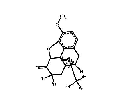 [2H]C1([2H])C[C@@]2(O)[C@H]3Cc4ccc(OC)c5c4[C@@]2(CCN3C([2H])([2H])[2H])C(O5)C1=O